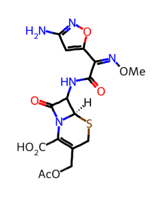 CO/N=C(\C(=O)NC1C(=O)N2C(C(=O)O)=C(COC(C)=O)CS[C@H]12)c1cc(N)no1